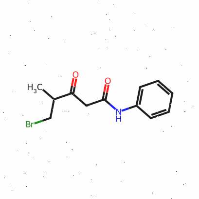 CC(CBr)C(=O)CC(=O)Nc1ccccc1